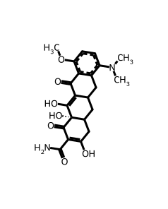 COc1ccc(N(C)C)c2c1C(=O)C1=C(O)[C@]3(O)C(=O)C(C(N)=O)=C(O)CC3CC1C2